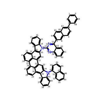 c1ccc(-c2ccc3cc(-c4nc(-n5c6ccccc6c6c7cccc8c9cccc%10c9c(cc9c%10c%10ccccc%10n9-c9cccc%10ccccc9%10)c(cc65)c87)nc5ccccc45)ccc3c2)cc1